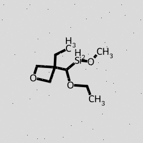 CCOC([SiH2]OC)C1(CC)COC1